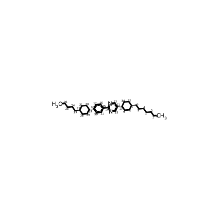 CCCCCCC[C@H]1CC[C@H](c2cnc(-c3ccc([C@H]4CC[C@H](CCCCC)CC4)cc3)nc2)CC1